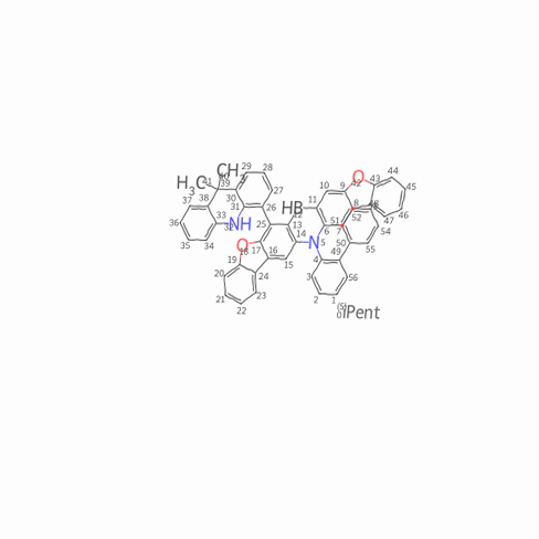 CCC[C@H](C)c1ccc(N2c3cc4c(cc3Bc3c2cc2c(oc5ccccc52)c3-c2cccc3c2Nc2ccccc2C3(C)C)oc2ccccc24)c(-c2ccccc2)c1